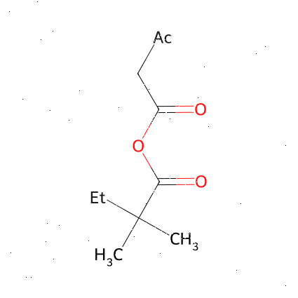 CCC(C)(C)C(=O)OC(=O)CC(C)=O